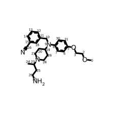 COCCOc1ccc(N(Cc2cccc(C#N)c2)C2CCN(C(C)CCN)CC2)cc1